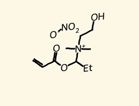 C=CC(=O)OC(CC)[N+](C)(C)CCO.O=[N+]([O-])[O-]